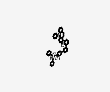 CN1C(C2=CCC(c3cccc(-c4cccc5c4oc4ccc6c(c45)C=Cc4ccccc4N6c4ccccc4)c3)C=C2)NC(c2ccccc2)=NC1c1ccccc1